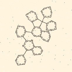 c1ccc(-c2nc(-c3ccccc3-c3cc4ccccc4c4c3-c3ccccc3C4(c3ccccc3)c3ccccc3)nc3ccccc23)cc1